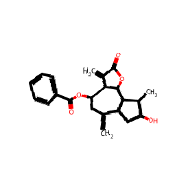 C=C1CC(OC(=O)c2ccccc2)C2C(=C)C(=O)OC2C2C1CC(O)C2C